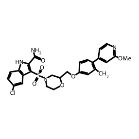 COc1cc(-c2ccc(OCC3CN(S(=O)(=O)c4c(C(N)=O)[nH]c5ccc(Cl)cc45)CCO3)cc2C)ccn1